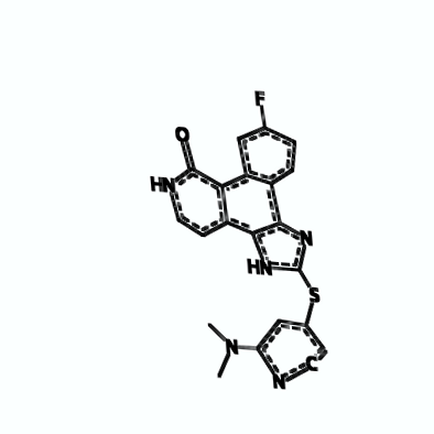 CN(C)c1cc(Sc2nc3c4ccc(F)cc4c4c(=O)[nH]ccc4c3[nH]2)ccn1